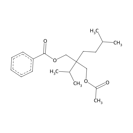 CC(=O)OCC(CCC(C)C)(COC(=O)c1ccccc1)C(C)C